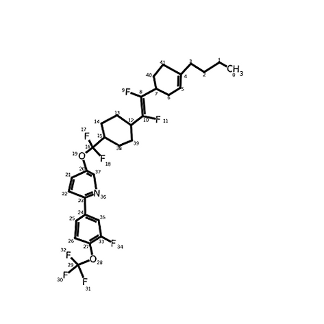 CCCCC1=CCC(/C(F)=C(\F)C2CCC(C(F)(F)Oc3ccc(-c4ccc(OC(F)(F)F)c(F)c4)nc3)CC2)CC1